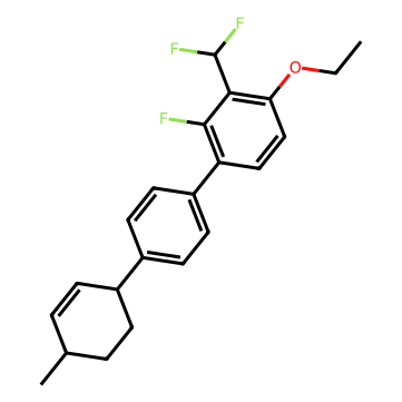 CCOc1ccc(-c2ccc(C3C=CC(C)CC3)cc2)c(F)c1C(F)F